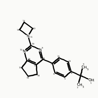 CC(C)(O)c1ccc(-c2nc(N3CCC3)nc3c2CCC3)cc1